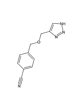 N#Cc1ccc(COCc2c[nH]nn2)cc1